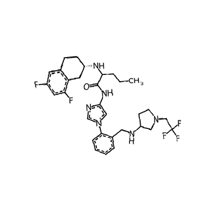 CCCC(N[C@H]1CCc2cc(F)cc(F)c2C1)C(=O)Nc1cn(-c2ccccc2CNC2CCN(CC(F)(F)F)C2)cn1